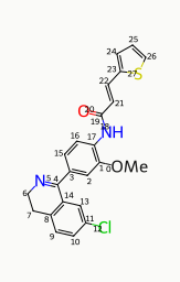 COc1cc(C2=NCCc3ccc(Cl)cc32)ccc1NC(=O)C=Cc1cccs1